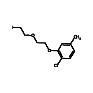 Cc1ccc(Cl)c(OCCOCCI)c1